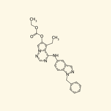 CCOC(=O)Oc1cn2ncnc(Nc3ccc4c(cnn4Cc4ccccc4)c3)c2c1CC